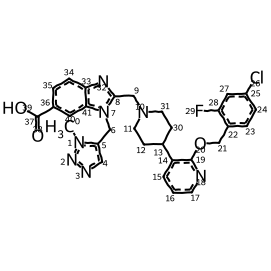 Cn1nncc1Cn1c(CN2CCC(c3cccnc3OCc3ccc(Cl)cc3F)CC2)nc2ccc(C(=O)O)cc21